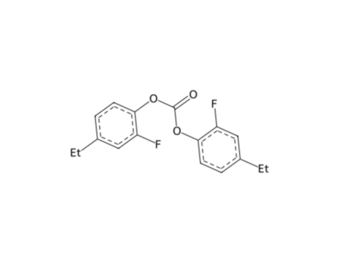 CCc1ccc(OC(=O)Oc2ccc(CC)cc2F)c(F)c1